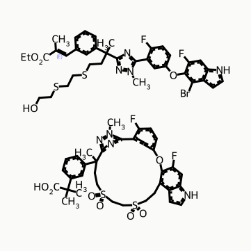 CCOC(=O)/C(C)=C/c1cccc(C(C)(CCSCCSCCO)c2nc(-c3cc(Oc4c(F)cc5[nH]ccc5c4Br)ccc3F)n(C)n2)c1.Cn1nc2nc1-c1cc(ccc1F)Oc1c(F)cc3[nH]ccc3c1CCS(=O)(=O)CCS(=O)(=O)CCC2(C)c1cccc(C(C)(C)C(=O)O)c1